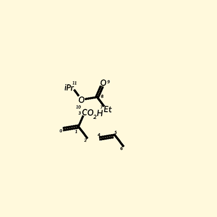 C=C(C)C(=O)O.C=CC.CCC(=O)OC(C)C